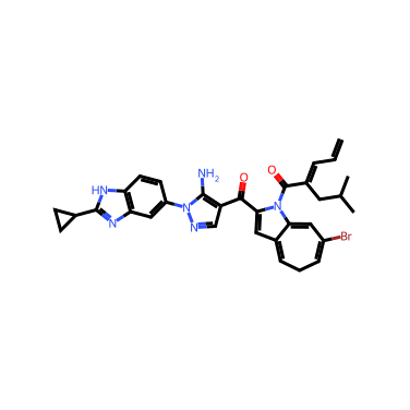 C=C/C=C(\CC(C)C)C(=O)n1c(C(=O)c2cnn(-c3ccc4[nH]c(C5CC5)nc4c3)c2N)cc2c1=CC(Br)=CCC=2